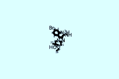 [3H]Nc1nc2cc(Br)ccc2c2c1nc(COCC)n2CC(C)(C)O